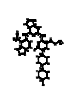 Cc1cc(Nc2nc(Nc3ccn4ccnc4c3[PH2]=O)c3cc[nH]c3n2)c(OCC(F)(F)F)cc1N1CCC(N2CCN(C)CC2)CC1